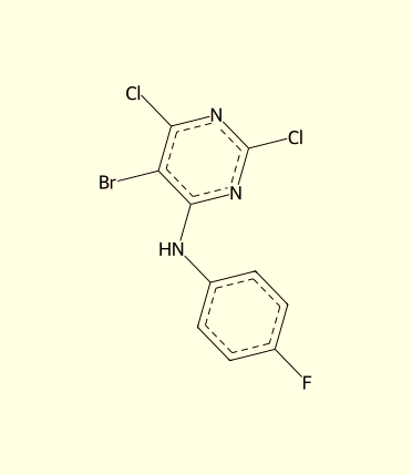 Fc1ccc(Nc2nc(Cl)nc(Cl)c2Br)cc1